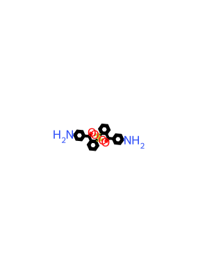 Nc1ccc(C(=O)c2ccccc2S(=O)(=O)c2ccccc2C(=O)c2ccc(N)cc2)cc1